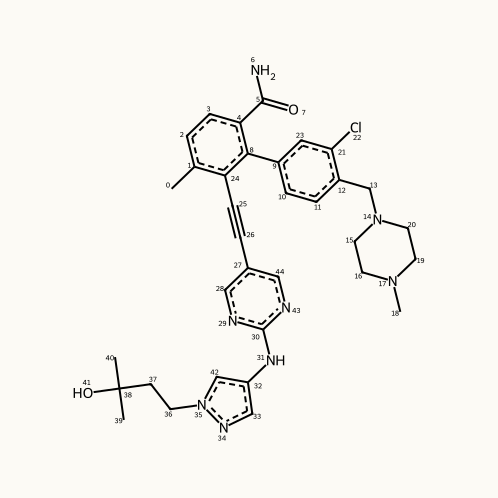 Cc1ccc(C(N)=O)c(-c2ccc(CN3CCN(C)CC3)c(Cl)c2)c1C#Cc1cnc(Nc2cnn(CCC(C)(C)O)c2)nc1